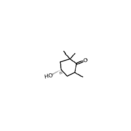 CC1C[C@H](O)CC(C)(C)C1=O